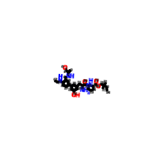 C=C(COC)NCc1cc(-c2cc(O)cc(C[C@H](N)C(=O)N3CCC[C@@H](C(=O)OCC(C)(C)CC)N3)c2)ccc1NCC